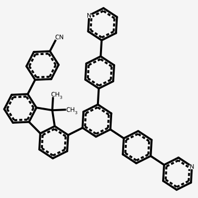 CC1(C)c2c(-c3ccc(C#N)cc3)cccc2-c2cccc(-c3cc(-c4ccc(-c5cccnc5)cc4)cc(-c4ccc(-c5cccnc5)cc4)c3)c21